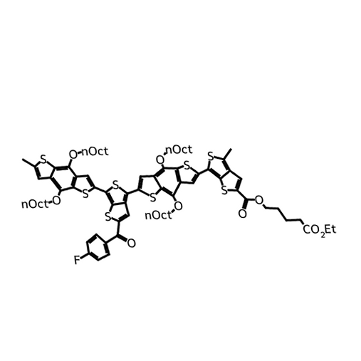 CCCCCCCCOc1c2cc(-c3sc(-c4cc5c(OCCCCCCCC)c6sc(-c7sc(C)c8cc(C(=O)OCCCCC(=O)OCC)sc78)cc6c(OCCCCCCCC)c5s4)c4cc(C(=O)c5ccc(F)cc5)sc34)sc2c(OCCCCCCCC)c2cc(C)sc12